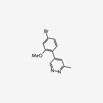 COc1cc(Br)ccc1-c1cnnc(C)c1